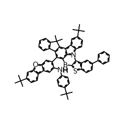 CC(C)(C)c1ccc(Nc2cc3c(cc2-c2c4c(c5c6cc(C(C)(C)C)ccc6n6c5c2Bc2sc5ccc(-c7ccccc7)cc5c2-6)C(C)(C)c2ccccc2-4)oc2cc(C(C)(C)C)ccc23)cc1